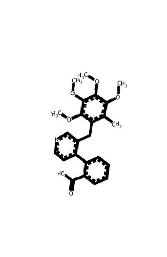 COc1c(C)c(Cc2cnccc2-c2ccccc2C(=O)O)c(OC)c(OC)c1OC